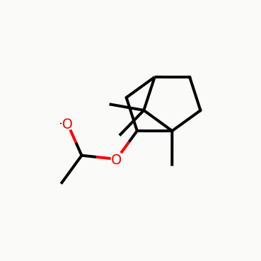 CC([O])OC1CC2CCC1(C)C2(C)C